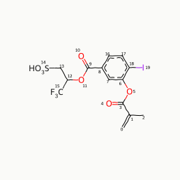 C=C(C)C(=O)Oc1cc(C(=O)OC(CS(=O)(=O)O)C(F)(F)F)ccc1I